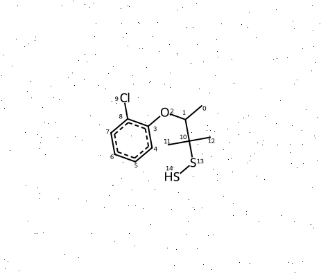 CC(Oc1ccccc1Cl)C(C)(C)SS